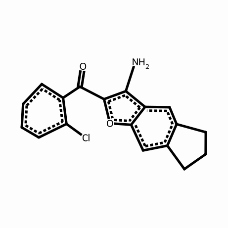 Nc1c(C(=O)c2ccccc2Cl)oc2cc3c(cc12)CCC3